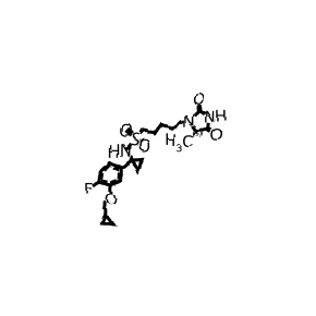 C[C@H]1C(=O)NC(=O)N1CCCCCS(=O)(=O)NC1(c2ccc(F)c(OCC3CC3)c2)CC1